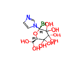 OC(O)[C@H]1O[C@](Br)(n2ccnc2)C(O)(O)C(O)(O)C1(O)O